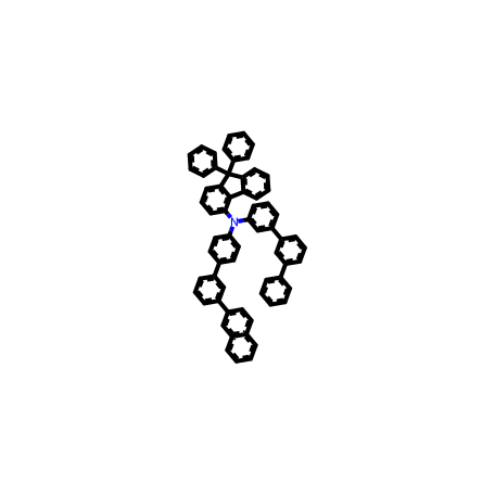 c1ccc(-c2cccc(-c3cccc(N(c4ccc(-c5cccc(-c6ccc7ccccc7c6)c5)cc4)c4cccc5c4-c4ccccc4C5(c4ccccc4)c4ccccc4)c3)c2)cc1